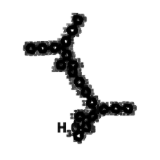 CC1(C)c2ccccc2-c2ccc(-c3ccc(N(c4ccc(-c5ccc(-c6ccccc6)cc5)cc4)c4ccc(-c5ccc(-c6ccc(-c7ccc8cc(-c9ccc(N(c%10ccc(-c%11ccc(-c%12ccccc%12)cc%11)cc%10)c%10ccc(-c%11ccc(-c%12ccccc%12)cc%11)cc%10)cc9-c9ccccc9)ccc8c7)cc6)cc5)cc4)cc3-c3ccccc3)cc21